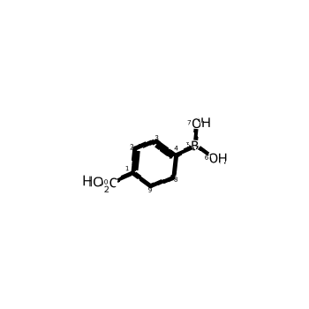 O=C(O)C1=CC=C(B(O)O)CC1